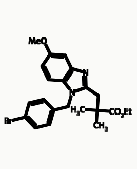 CCOC(=O)C(C)(C)Cc1nc2cc(OC)ccc2n1Cc1ccc(Br)cc1